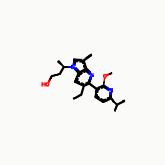 CCc1cc2c(nc1-c1ccc(C(C)C)nc1OC)c(C)cn2[C@H](C)CCO